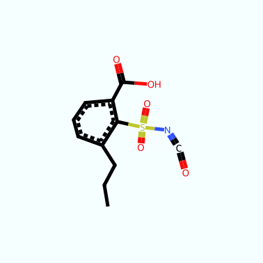 CCCc1cccc(C(=O)O)c1S(=O)(=O)N=C=O